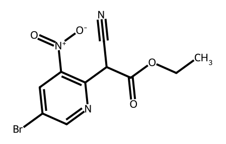 CCOC(=O)C(C#N)c1ncc(Br)cc1[N+](=O)[O-]